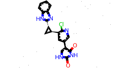 O=c1[nH]cc(-c2cnc(Cl)c([C@H]3C[C@@H]3c3nc4ccccc4[nH]3)c2)c(=O)[nH]1